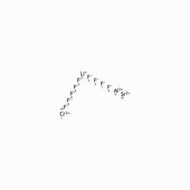 [Al+3].[Cr+3].[F-].[F-].[F-].[F-].[F-].[F-].[F-].[F-].[F-].[Li+].[Sr+2]